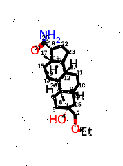 CCOC[C@@]1(O)CC[C@@]2(C)[C@H](CC[C@@H]3[C@@H]2CC[C@]2(C)[C@@H](C(N)=O)CC[C@@H]32)C1